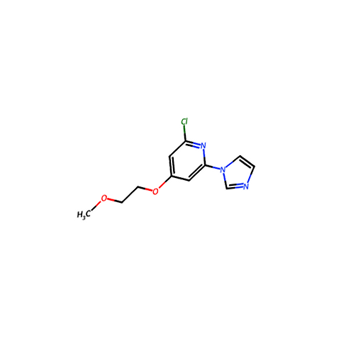 COCCOc1cc(Cl)nc(-n2ccnc2)c1